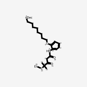 CCCCCCCCCCCCCCCCCCOc1ccccc1NC(=O)CC(=O)C(C)(C)SCC